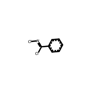 ClN=C(Cl)c1ccccc1